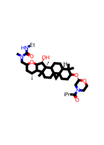 CCNC(=O)N(C)CC1C[C@@H](C)C2C(O1)[C@H](O)[C@@]1(C)C3CC[C@H]4C(C)(C)C(O[C@H]5CN(C(=O)C(C)C)CCO5)CCC45CC35CCC21C